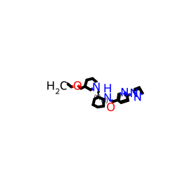 C=CCOCC1CCCN(C[C@@H]2CCCC[C@H]2NC(=O)c2ccc(-n3cccn3)nc2)C1